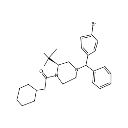 CC(C)(C)[C@H]1CN(C(c2ccccc2)c2ccc(Br)cc2)CCN1C(=O)CC1CCCCC1